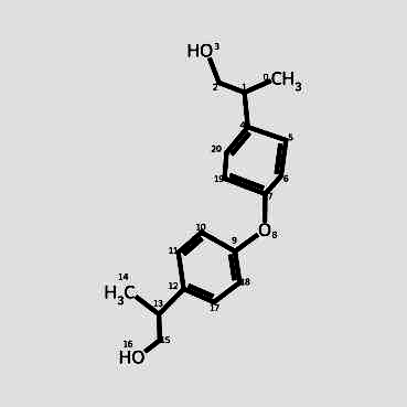 CC(CO)c1ccc(Oc2ccc(C(C)CO)cc2)cc1